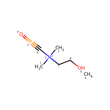 C.C[N+](C)(C#P=O)CCO